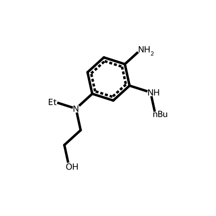 CCCCNc1cc(N(CC)CCO)ccc1N